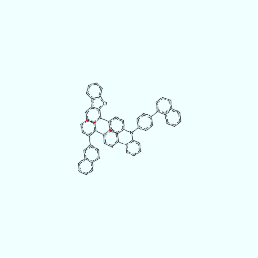 c1ccc(-c2ccc3ccccc3c2)c(-c2ccc(-c3ccccc3N(c3ccc(-c4cccc5ccccc45)cc3)c3ccc(-c4cccc5c4oc4ccccc45)cc3)cc2)c1